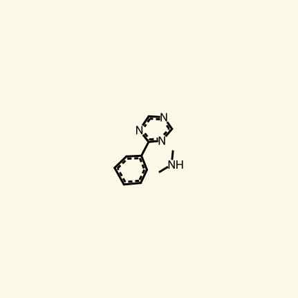 CNC.c1ccc(-c2ncncn2)cc1